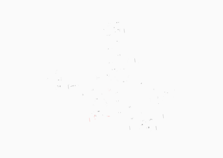 Cc1c(CCCCCC2(C(=O)O)CC2)cc(COc2c(CCCCCC3(C(=O)O)CC3)cc(O)c(O)c2CCCCCC(C)(C)C(=O)O)c(C)c1CCCCCC(C)(C)C(=O)O